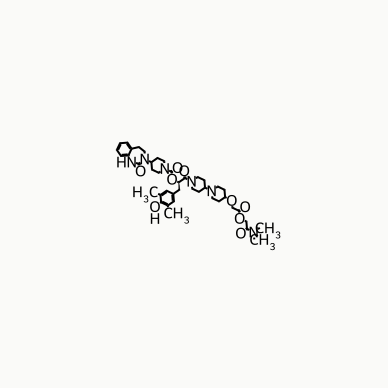 Cc1cc(C[C@@H](OC(=O)N2CCC(N3CCc4ccccc4NC3=O)CC2)C(=O)N2CCC(N3CCC(OCC(=O)OCC(=O)N(C)C)CC3)CC2)cc(C)c1O